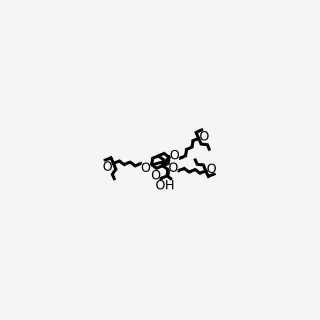 CCCC1(CCCCCOC(=C(C)C(=O)O)C23CC4CC(OCCCCCC5(CCC)CCO5)(CC(OCCCCCC5(CCC)CCO5)(C4)C2)C3)CCO1